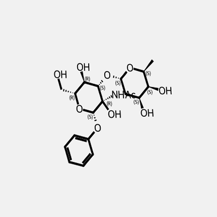 CC(=O)N[C@]1(O)[C@H](Oc2ccccc2)O[C@H](CO)[C@@H](O)[C@@H]1O[C@H]1C[C@H](O)[C@H](O)[C@H](C)O1